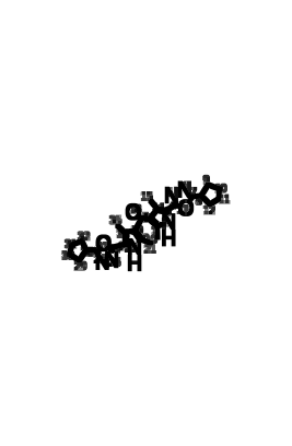 Cc1[nH]c(-c2nnc(C3CCCC3)o2)c(C)c1C(=O)c1c(C)[nH]c(-c2nnc(C3CCCC3)o2)c1C